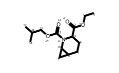 CCOC(=O)C1CCC2CC2N1C(=O)OCC(C)C